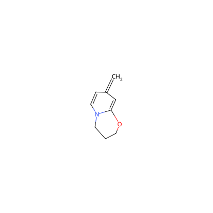 C=C1C=CN2CCCOC2=C1